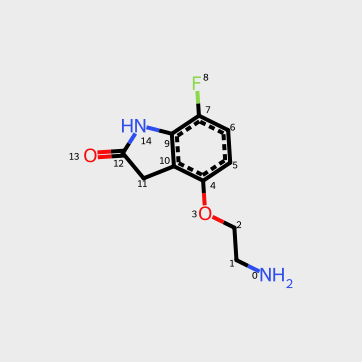 NCCOc1ccc(F)c2c1CC(=O)N2